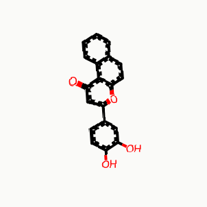 O=c1cc(-c2ccc(O)c(O)c2)oc2ccc3ccccc3c12